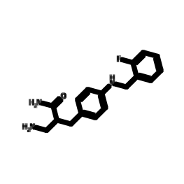 NCC(Cc1ccc(NCc2ccccc2F)cc1)C(N)=O